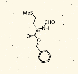 CSCC[C@H](NC=O)C(=O)OCc1ccccc1